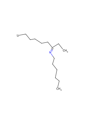 [Li][CH2]CCCCC(CC)=NCCCCCC